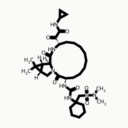 CN(C)S(=O)(=O)CC1(NC(=O)N[C@H]2CCCCCCCC[C@@H](C(=O)C(=O)NC3CC3)NC(=O)[C@@H]3[C@@H]4[C@H](CN3C2=O)C4(C)C)CCCCC1